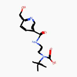 CC(C)(C)N(CCNC(=O)c1ccc(CO)nc1)C(=O)O